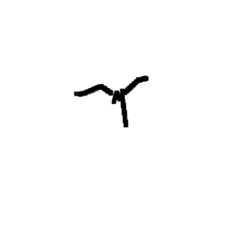 [CH2][CH2][Al]([CH3])[CH3]